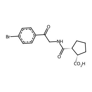 O=C(CNC(=O)[C@@H]1CCC[C@@H]1C(=O)O)c1ccc(Br)cc1